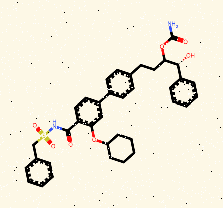 NC(=O)OC(CCc1ccc(-c2ccc(C(=O)NS(=O)(=O)Cc3ccccc3)c(OC3CCCCC3)c2)cc1)[C@H](O)c1ccccc1